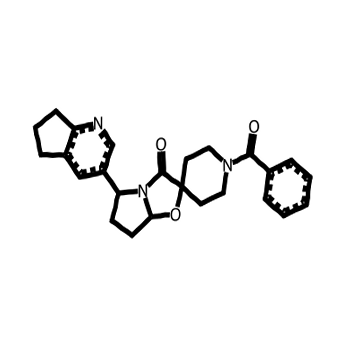 O=C(c1ccccc1)N1CCC2(CC1)OC1CCC(c3cnc4c(c3)CCC4)N1C2=O